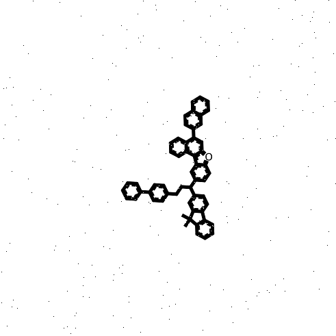 CC1(C)c2ccccc2-c2ccc(C(CCc3ccc(-c4ccccc4)cc3)c3ccc4oc5cc(-c6ccc7ccccc7c6)c6ccccc6c5c4c3)cc21